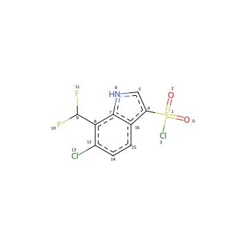 O=S(=O)(Cl)c1c[nH]c2c(C(F)F)c(Cl)ccc12